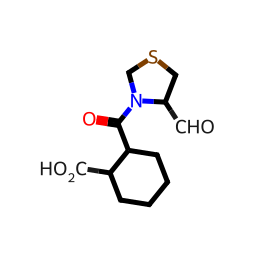 O=CC1CSCN1C(=O)C1CCCCC1C(=O)O